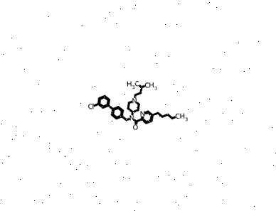 CCCCCc1ccc(C(=O)N(Cc2ccc(-c3cccc(Cl)c3)cc2)C2CCN(CCC(C)C)CC2)nc1